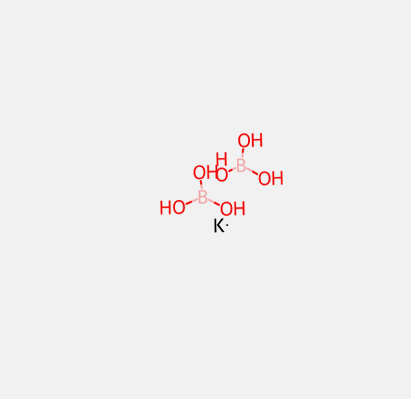 OB(O)O.OB(O)O.[K]